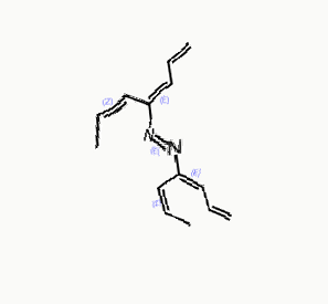 C=C/C=C(\C=C/C)/N=N/C(/C=C\C)=C/C=C